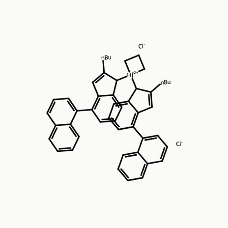 CCCCC1=Cc2c(-c3cccc4ccccc34)cccc2[CH]1[Hf+2]1([CH]2C(CCCC)=Cc3c(-c4cccc5ccccc45)cccc32)[CH2]C[CH2]1.[Cl-].[Cl-]